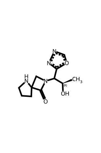 C[C@@H](O)C(c1nnco1)N1CC2(CCCN2)C1=O